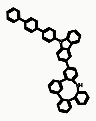 c1ccc(-c2ccc(-c3ccc(-n4c5ccccc5c5cc(-c6ccc7c(c6)-c6cccc(c6)-c6ccccc6-c6ccccc6N7)ccc54)cc3)cc2)cc1